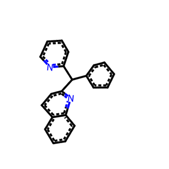 c1ccc(C(c2ccccn2)c2ccc3ccccc3n2)cc1